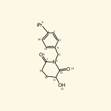 CC(C)c1ccc(CN2C(=O)CCC(O)C2=O)cc1